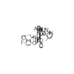 CC[C@@H](NC(=O)N1C(=O)[C@H](Cc2ccnc(N)c2)[C@H]1C(=O)N(C)c1nccn1C)c1cccc(F)c1Cl